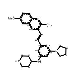 COc1ccc2nc(C)c(C=Cc3nc(NC4CCOCC4)cc(N4CCCC4)n3)nc2c1